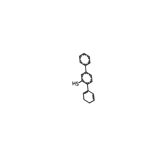 Sc1cc(-c2ccccc2)ccc1C1=CCCC=C1